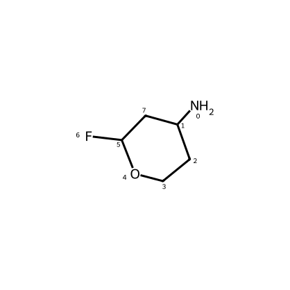 NC1CCOC(F)C1